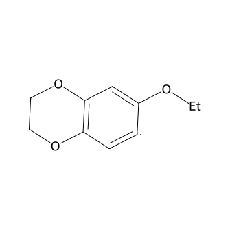 CCOc1[c]cc2c(c1)OCCO2